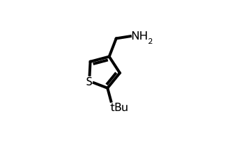 CC(C)(C)c1cc(CN)cs1